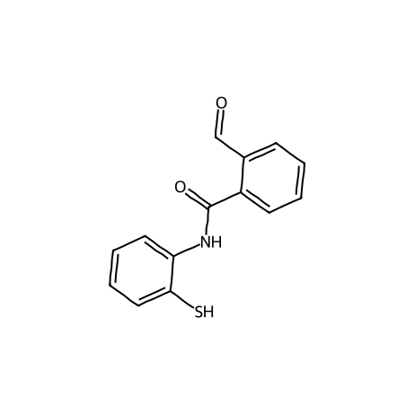 O=Cc1ccccc1C(=O)Nc1ccccc1S